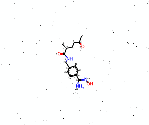 CC(=O)CC[C@H](C)C(=O)NCc1ccc(/C(N)=N/O)cc1